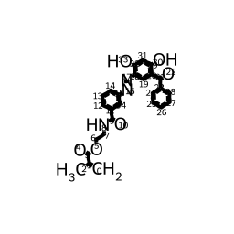 C=C(C)C(=O)OCCNC(=O)c1cccc(/N=N/c2cc(C(=O)c3ccccc3)c(O)cc2O)c1